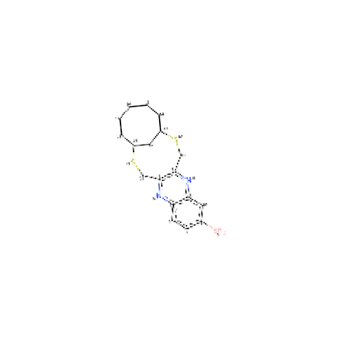 Bc1ccc2nc3c(nc2c1)CSC1CCCCCC(C1)SC3